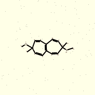 COC1(C)C=CC2=C(C=C1)C=CC(C)(SC)C=C2